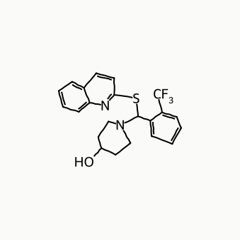 OC1CCN(C(Sc2ccc3ccccc3n2)c2ccccc2C(F)(F)F)CC1